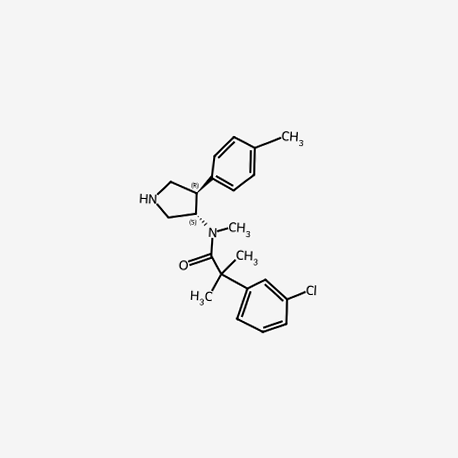 Cc1ccc([C@@H]2CNC[C@H]2N(C)C(=O)C(C)(C)c2cccc(Cl)c2)cc1